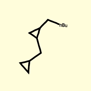 CCCCCC1CC1CC1CC1